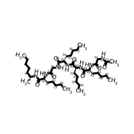 CCCCC[C@@H](C)NC(=O)[C@H](CCCCC)NC(=O)CNC(=O)[C@H](CCCCC)NC(=O)[C@H](CCCCC)NC(=O)[C@H](CCCCC)NC(=O)CNC(C)=O